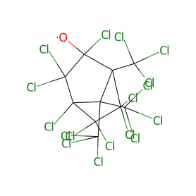 [O]C1(Cl)C(Cl)(Cl)C2(Cl)C(Cl)(Cl)C(Cl)(Cl)C1(C(Cl)(Cl)Cl)C2(C(Cl)(Cl)Cl)C(Cl)(Cl)Cl